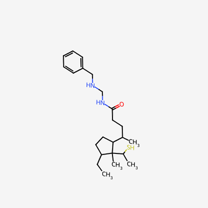 CCC1CCC(C(C)CCC(=O)NCNCc2ccccc2)C1(C)C(C)S